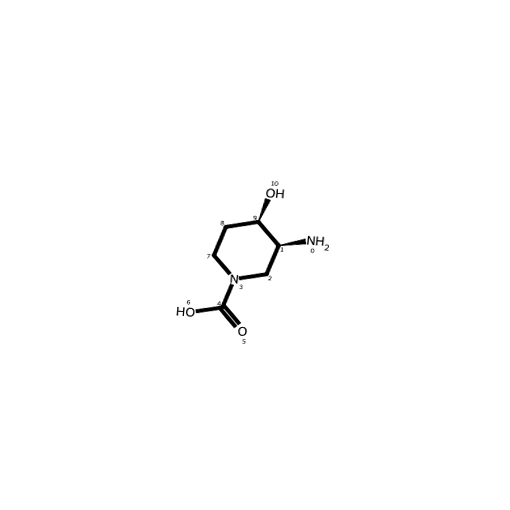 N[C@H]1CN(C(=O)O)CC[C@H]1O